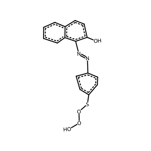 OOOSc1ccc(N=Nc2c(O)ccc3ccccc23)cc1